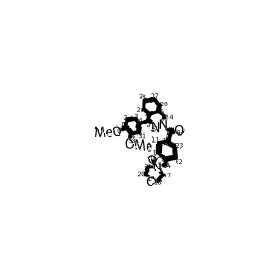 COc1ccc(C2=NN(C(=O)c3ccc(C[N+]4([O-])CCOCC4)cc3)CC3CC=CCC23)cc1OC